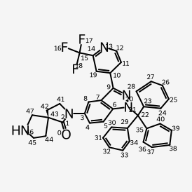 O=C1N(c2ccc3c(c2)c(-c2ccnc(C(F)(F)F)c2)nn3C(c2ccccc2)(c2ccccc2)c2ccccc2)CC[C@]12CCNC2